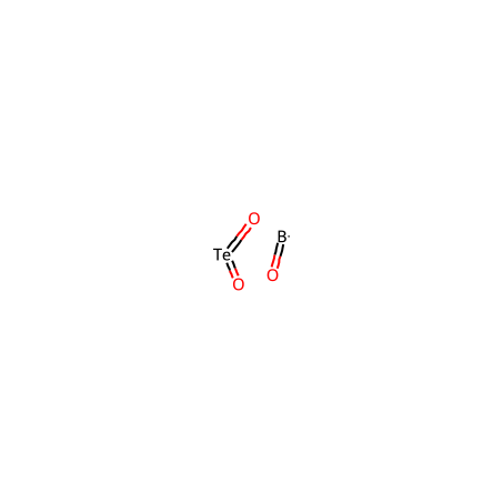 O=[Te]=O.[B]=O